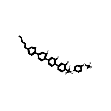 CCCCCc1ccc(-c2ccc(-c3ccc(-c4ccc(C(F)(F)Oc5ccc(OC(F)(F)F)cc5)c(F)c4)c(F)c3)c(F)c2)cc1